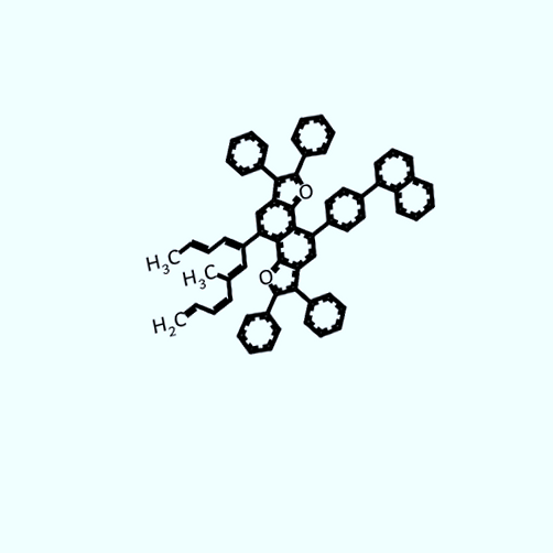 C=C\C=C/C(C)=C/C(=C\C=C\C)c1cc2c(-c3ccccc3)c(-c3ccccc3)oc2c2c(-c3ccc(-c4cccc5ccccc45)cc3)cc3c(-c4ccccc4)c(-c4ccccc4)oc3c12